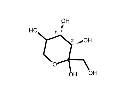 OCC1(O)OCC(O)[C@H](O)[C@@H]1O